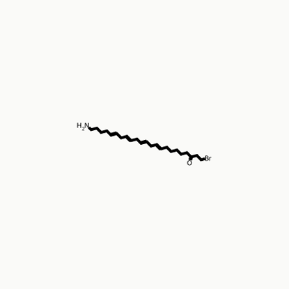 NCCCCC=CCC=CCC=CCC=CCCCCCC(=O)CCBr